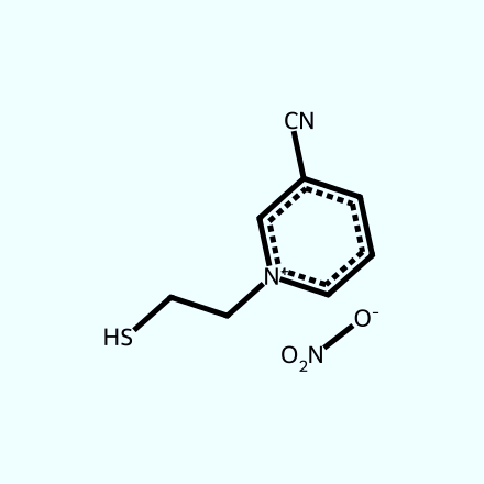 N#Cc1ccc[n+](CCS)c1.O=[N+]([O-])[O-]